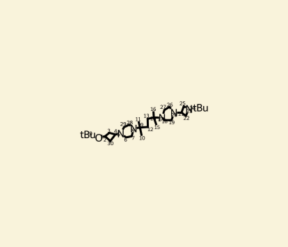 CC(C)(C)OC1CC(N2CCN(C(C)(C)CCC(C)(C)N3CCN(C4CN(C(C)(C)C)C4)CC3)CC2)C1